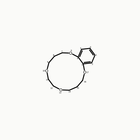 c1ccc2c(c1)OCCCOCCOCCCO2